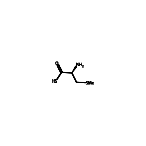 CSC[C@H](N)C(=O)S